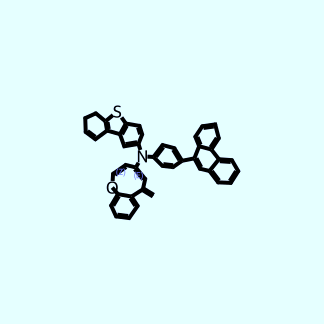 C=C1/C=C(N(c2ccc(-c3cc4ccccc4c4ccccc34)cc2)c2ccc3sc4c(c3c2)C=CCC4)\C=C/Oc2ccccc21